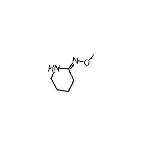 CON=C1CCCCN1